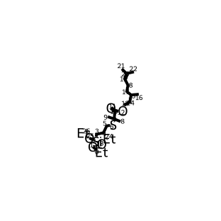 CCO[Si](CCCSC(C)(C)C(=O)OCCC(C)CCC=C(C)C)(OCC)OCC